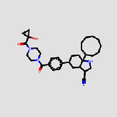 N#CC1CNC2(C3CCCCCCCC3)CCC(c3ccc(C(=O)N4CCN(C(=O)C5(O)CC5)CC4)cc3)CC12